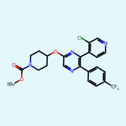 CC(C)(C)OC(=O)N1CCC(Oc2cnc(-c3ccc(C(F)(F)F)cc3)c(-c3ccncc3Cl)n2)CC1